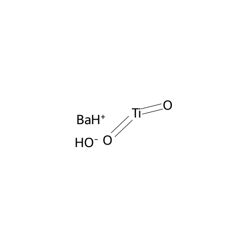 [BaH+].[OH-].[O]=[Ti]=[O]